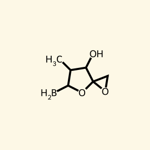 BC1OC2(CO2)C(O)C1C